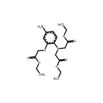 CC(=O)OCOC(=O)COc1cc(N)ccc1N(CC(=O)OCOC(C)=O)CC(=O)OCOC(C)=O